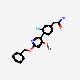 CCOc1cc(OCc2ccccc2)ncc1-c1ccc(CC(N)=O)cc1F